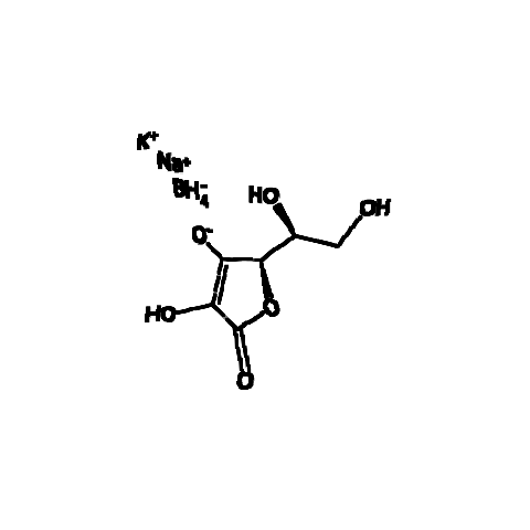 O=C1O[C@H]([C@@H](O)CO)C([O-])=C1O.[BH4-].[K+].[Na+]